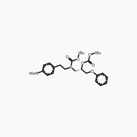 CNc1ccc(CCN(C[C@@H](COc2ccccc2)OC(=O)OC(C)(C)C)C(=O)OC(C)(C)C)cc1